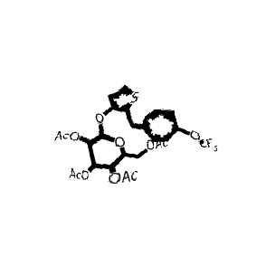 CC(=O)OCC1OC(Oc2ccsc2Cc2ccc(OC(F)(F)F)cc2)C(OC(C)=O)C(OC(C)=O)C1OC(C)=O